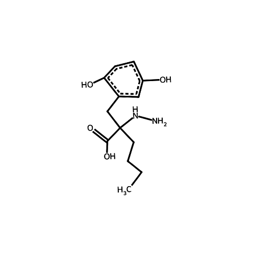 CCCCC(Cc1cc(O)ccc1O)(NN)C(=O)O